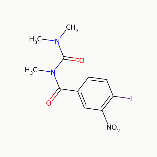 CN(C)C(=O)N(C)C(=O)c1ccc(I)c([N+](=O)[O-])c1